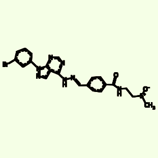 C[S+]([O-])CCNC(=O)c1ccc(/C=N/Nc2ncnc3c2cnn3-c2cccc(Br)c2)cc1